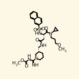 COCCCN(C(=O)[C@H](CC(=O)NC[C@@H]1CCCN(C(=N)NC(=O)OC)C1)NS(=O)(=O)c1ccc2ccccc2c1)C1CC1